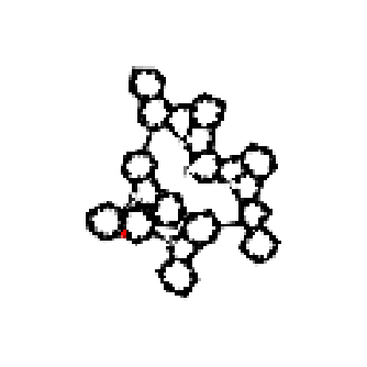 c1ccc(-n2c3ccccc3c3cc(-c4c5ccccc5cc5c6cccc7c8c9c%10cccc%11c%12c%13ccccc%13cc(-c%13ccc%14c(c%13)c%13ccccc%13n%14-c%13ccccc%13)c%12n(c9ncc8n(c45)c67)c%10%11)ccc32)cc1